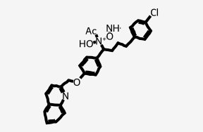 CC(=O)[N+](O)(O[NH])C(CCCc1ccc(Cl)cc1)c1ccc(OCc2ccc3ccccc3n2)cc1